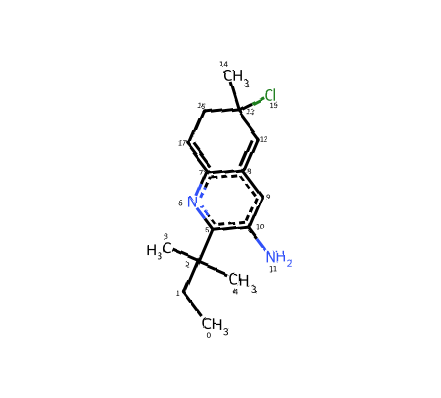 CCC(C)(C)c1nc2c(cc1N)=CC(C)(Cl)CC=2